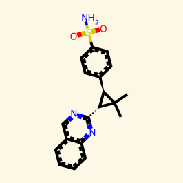 CC1(C)[C@H](c2ccc(S(N)(=O)=O)cc2)[C@H]1c1ncc2ccccc2n1